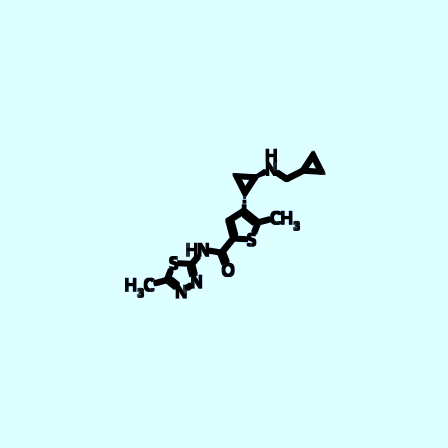 Cc1nnc(NC(=O)c2cc([C@@H]3C[C@H]3NCC3CC3)c(C)s2)s1